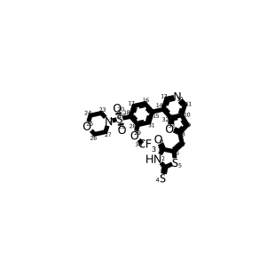 O=C1NC(=S)SC1=Cc1cc2cncc(-c3ccc(S(=O)(=O)N4CCOCC4)c(OC(F)(F)F)c3)c2o1